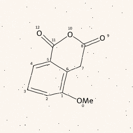 COc1cccc2c1CC(=O)OC2=O